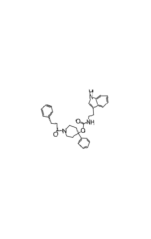 O=C(NCCc1c[nH]c2ccccc12)OC1(c2ccccc2)CCN(C(=O)CCc2ccccc2)CC1